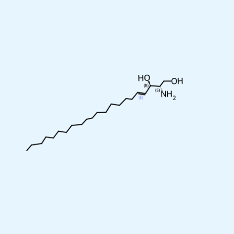 CCCCCCCCCCCCCCCCC/C=C/[C@@H](O)[C@@H](N)CO